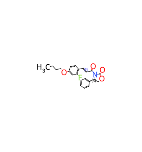 CCCCOc1ccc(/C=C/C(=O)N2C(=O)OC[C@H]2c2ccccc2)c(F)c1